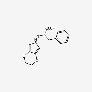 O=C(O)[C@H](Cc1ccccc1)N[SH]1C=C2OCCOC2=C1